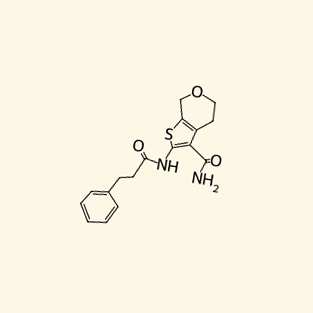 NC(=O)c1c(NC(=O)CCc2ccccc2)sc2c1CCOC2